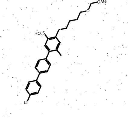 COCOCCCCCc1cc(C)c(-c2ccc(-c3ccc(Cl)cc3)cc2)cc1S(=O)(=O)O